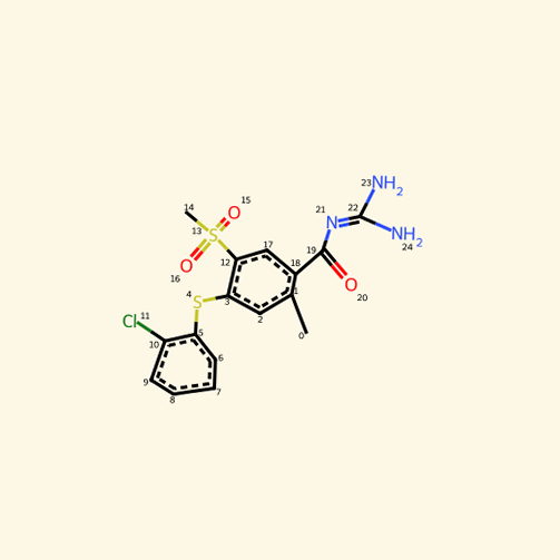 Cc1cc(Sc2ccccc2Cl)c(S(C)(=O)=O)cc1C(=O)N=C(N)N